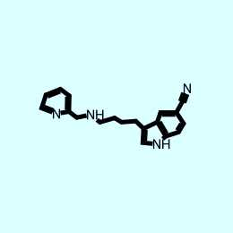 N#Cc1ccc2[nH]cc(CCCCNCc3ccccn3)c2c1